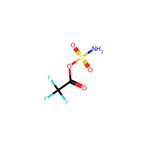 NS(=O)(=O)OC(=O)C(F)(F)F